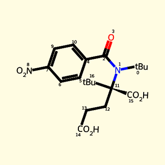 CC(C)(C)N(C(=O)c1ccc([N+](=O)[O-])cc1)[C@@](CCC(=O)O)(C(=O)O)C(C)(C)C